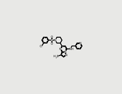 Bc1cnn2c(NCc3cccnc3)cc(C3CCCN(S(=O)(=O)c4cccc(Cl)c4)C3)nc12